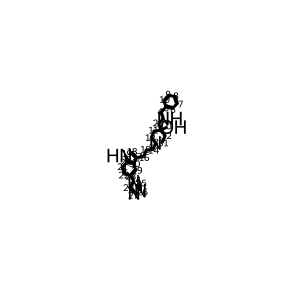 OC1(CNCc2ccccc2)CCN(CCCc2c[nH]c3ccc(-n4cnnc4)cc23)CC1